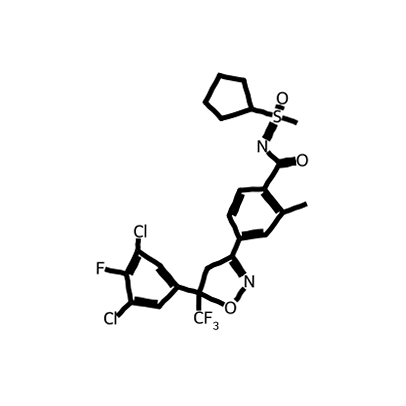 Cc1cc(C2=NOC(c3cc(Cl)c(F)c(Cl)c3)(C(F)(F)F)C2)ccc1C(=O)N=S(C)(=O)C1CCCC1